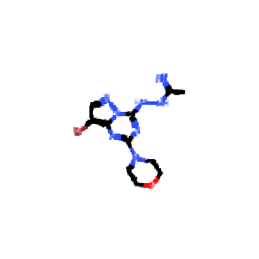 CC(=N)NNc1nc(N2CCOCC2)nc2c(Br)cnn12